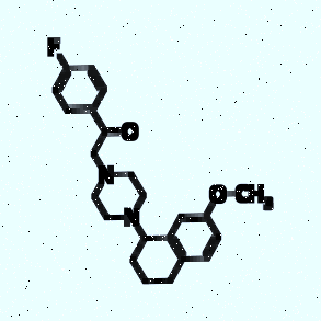 COc1ccc2c(c1)C(N1CCN(CC(=O)c3ccc(F)cc3)CC1)CCC2